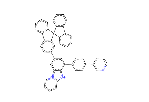 c1cncc(-c2ccc(-c3cc(-c4ccc5c(c4)C4(c6ccccc6-c6ccccc64)c4ccccc4-5)cc4c3[nH]c3cccc[n+]34)cc2)c1